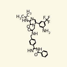 CC(C)Nc1ncc(-c2cc(N)cc(C(F)(F)F)c2)n(CC(=O)NCc2ccc(C(=N)NC(=O)c3ccccc3)cc2)c1=O